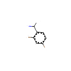 CC(N)c1ccc(Br)cc1Br